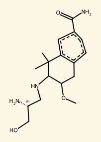 COC1Cc2ccc(C(N)=O)cc2C(C)(C)C1NC[C@@H](N)CO